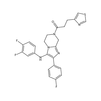 O=C(CCc1cscn1)N1CCn2c(nc(-c3ccc(F)cc3)c2Nc2ccc(F)c(F)c2)C1